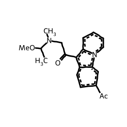 COC(C)N(C)CC(=O)c1c2ccc(C(C)=O)cc2n2ccccc12